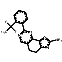 CC(F)(F)c1ccccc1-c1ncc2c(n1)-c1sc(N)nc1CC2